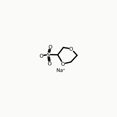 O=S(=O)([O-])C1COCCO1.[Na+]